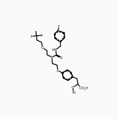 CCOC(Cc1ccc(OCCN(CCOCCC(C)(F)F)C(=O)NCc2ccc(F)cc2)cc1)C(=O)O